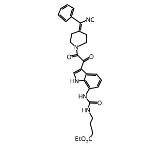 [C-]#[N+]C(=C1CCN(C(=O)C(=O)c2c[nH]c3c(NC(=O)NCCCC(=O)OCC)cccc23)CC1)c1ccccc1